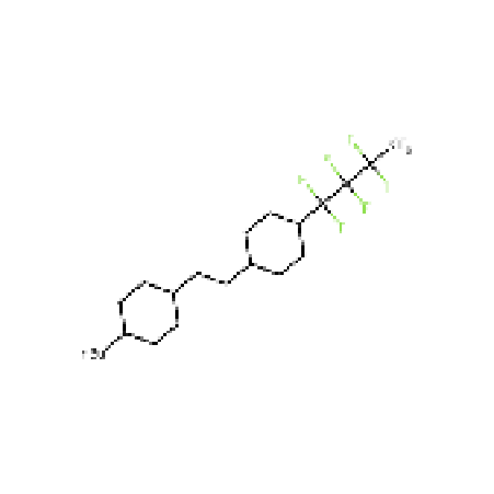 CCCCC1CCC(CCC2CCC(C(F)(F)C(F)(F)C(F)(F)C(F)(F)F)CC2)CC1